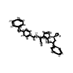 CC1CC(c2ccccc2)Nc2c(C(=O)NCc3ccc(Oc4ccccc4)cc3)cnn21